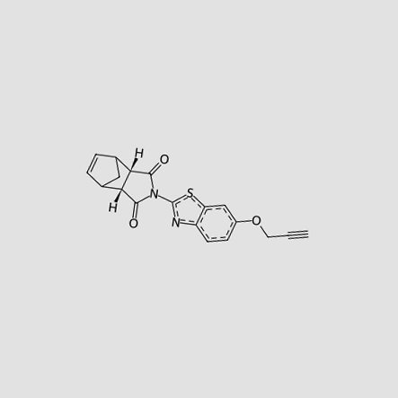 C#CCOc1ccc2nc(N3C(=O)[C@@H]4C5C=CC(C5)[C@@H]4C3=O)sc2c1